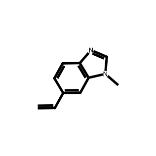 C=Cc1ccc2ncn(C)c2c1